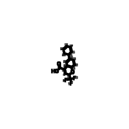 O=C(O)C1=CC(C(F)(F)F)Oc2ccc(C3C=CC=CC3)cc21